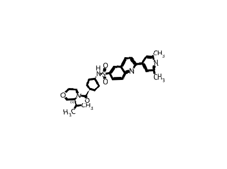 Cc1cc(-c2ccc3cc(S(=O)(=O)N[C@H]4CC[C@H](C(=O)N5CCOC[C@@H]5C(C)C)CC4)ccc3n2)cc(C)n1